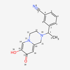 CC(c1cccc(C#N)c1)N1CCn2cc(O)c(=O)cc2C1